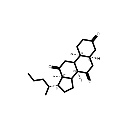 CCCC(C)[C@H]1CCC2[C@@H]3C(=O)C[C@@H]4CC(=O)CC[C@]4(C)C3CC(=O)[C@@]21C